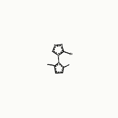 CCc1nn[c]n1-n1c(C)ccc1C